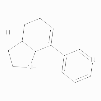 C1=C(c2cccnc2)[C@H]2NCC[C@H]2CC1